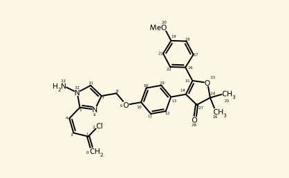 C=C(Cl)/C=C\c1nc(COc2ccc(C3=C(c4ccc(OC)cc4)OC(C)(C)C3=O)cc2)cn1N